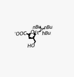 CCCC[P+](CC)(CCCC)CCCC.O=C([O-])c1cc(CO)co1